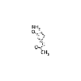 CC(=O)O[C@H]1C=C[C@H](ON)C1